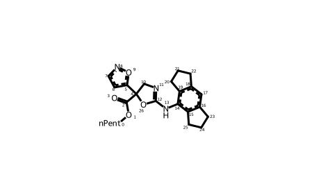 CCCCCOC(=O)C1(c2ccno2)CN=C(Nc2c3c(cc4c2CCC4)CCC3)O1